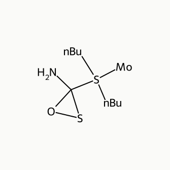 CCCC[S]([Mo])(CCCC)C1(N)OS1